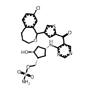 NS(=O)(=O)OC[C@H]1C[C@@H](Nc2ncncc2C(=O)c2cc(C3OCCCc4ccc(Cl)cc43)cs2)C[C@@H]1O